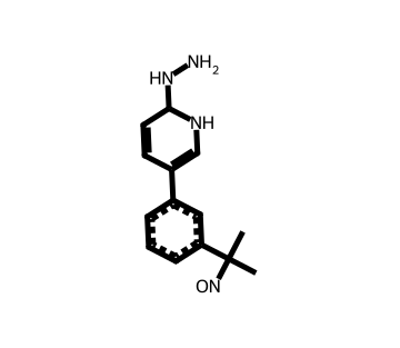 CC(C)(N=O)c1cccc(C2=CNC(NN)C=C2)c1